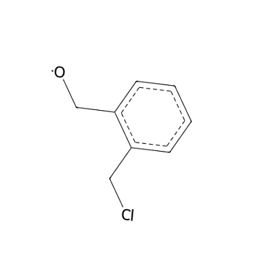 [O]Cc1ccccc1CCl